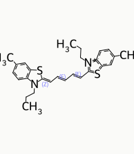 CCCN1/C(=C/C=C/C=C/c2sc3cc(C)ccc3[n+]2CCC)Sc2cc(C)ccc21